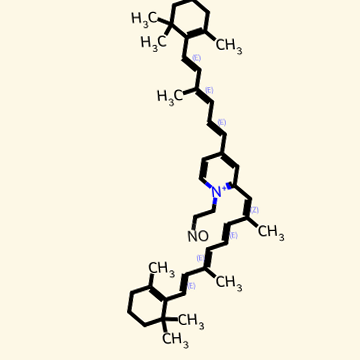 CC1=C(/C=C/C(C)=C/C=C/C(C)=C\c2cc(/C=C/C=C(C)/C=C/C3=C(C)CCCC3(C)C)cc[n+]2CCN=O)C(C)(C)CCC1